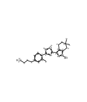 CCn1nc(-c2nc(-c3ccc(CCCN)cc3C)no2)c2c1CC(C)(C)CC2